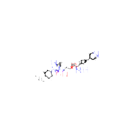 CC1=C[C@@H](NC(O)N(CCCOC(N)C2C=C(c3ccncc3)C2)C(C)(C)C=O)CC[C@H]1C#N